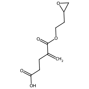 C=C(CCC(=O)O)C(=O)OCCC1CO1